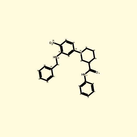 O=C(Nc1ccccc1)C1CCCN(c2ccc([N+](=O)[O-])c(NCc3ccccc3)c2)C1